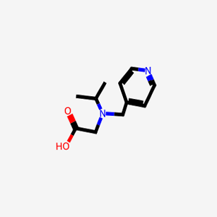 CC(C)N(CC(=O)O)Cc1ccncc1